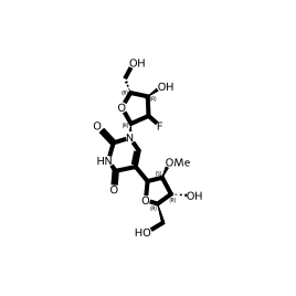 CO[C@@H]1C(c2cn([C@@H]3O[C@H](CO)[C@@H](O)C3F)c(=O)[nH]c2=O)O[C@H](CO)[C@H]1O